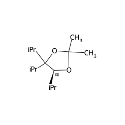 CC(C)[C@@H]1OC(C)(C)OC1(C(C)C)C(C)C